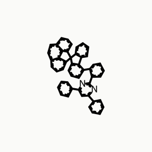 c1ccc(-c2cc(-c3ccccc3)nc(-c3ccccc3-c3cccc4c3-c3ccccc3C43c4cccc5ccc6cccc3c6c45)n2)cc1